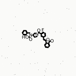 O=C1O/C(=C\c2ccc(F)c(C(=O)N3CC[C@@H](N(Cc4ccccc4)C(=O)O)C3)c2)c2ccccc21